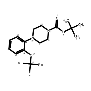 CC(C)(C)OC(=O)N1CCN(c2ccccc2OC(F)(F)F)CC1